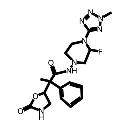 Cn1nnc(N2CCN(NC(=O)C(C)(c3ccccc3)C3CNC(=O)O3)CC2F)n1